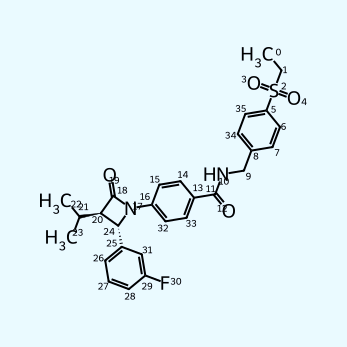 CCS(=O)(=O)c1ccc(CNC(=O)c2ccc(N3C(=O)[C@H](C(C)C)[C@H]3c3cccc(F)c3)cc2)cc1